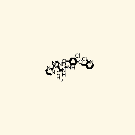 C[C@H](NC(=O)Nc1cc(OCc2cccnc2Cl)c(Cl)cc1Cl)c1ncnn1-c1ncccn1